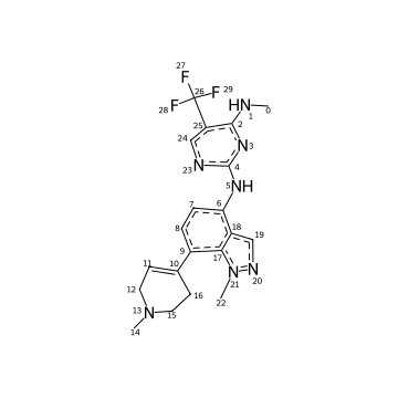 CNc1nc(Nc2ccc(C3=CCN(C)CC3)c3c2cnn3C)ncc1C(F)(F)F